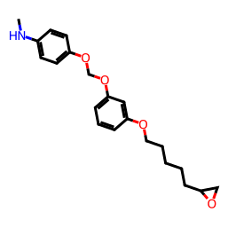 CNc1ccc(OCOc2cccc(OCCCCCC3CO3)c2)cc1